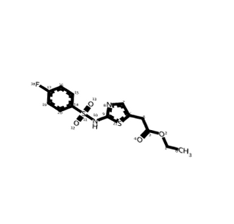 CCOC(=O)Cc1cnc(NS(=O)(=O)c2ccc(F)cc2)s1